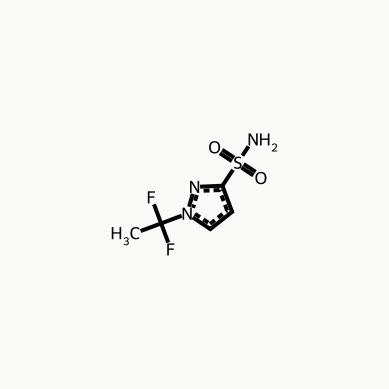 CC(F)(F)n1ccc(S(N)(=O)=O)n1